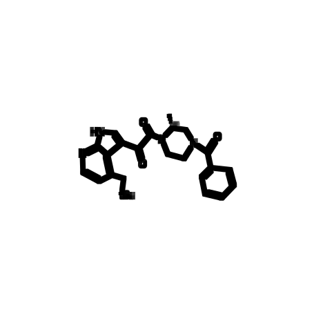 C[C@@H]1CN(C(=O)c2ccccc2)CCN1C(=O)C(=O)c1c[nH]c2nccc(CC(C)(C)C)c12